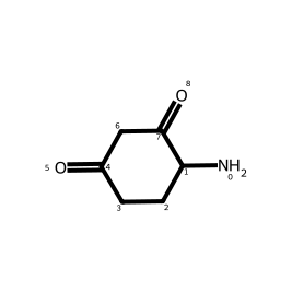 NC1CCC(=O)CC1=O